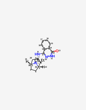 CCOC(=O)N1[C@@H]2CC[C@H]1C[C@@H](Nc1n[nH]c(=O)c3ccccc13)C2